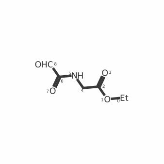 CCOC(=O)CNC(=O)C=O